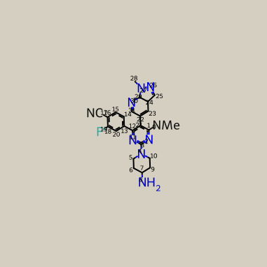 CNc1nc(N2CCC(N)CC2)nc(-c2ccc(C#N)c(F)c2)c1C1=CC2C=NN(C)C2N=C1